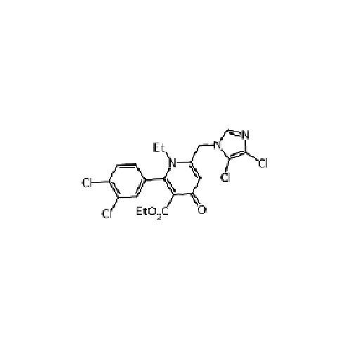 CCOC(=O)c1c(-c2ccc(Cl)c(Cl)c2)n(CC)c(Cn2cnc(Cl)c2Cl)cc1=O